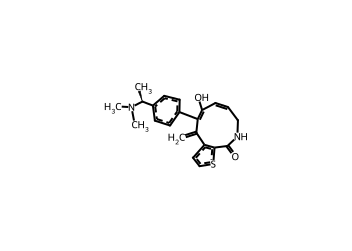 C=C1/C(c2ccc([C@H](C)N(C)C)cc2)=C(O)\C=C/CNC(=O)c2sccc21